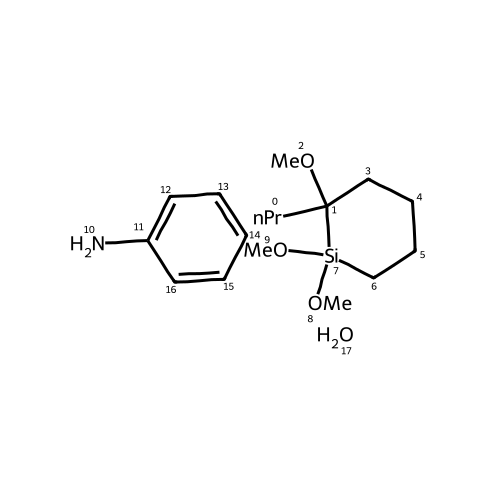 CCCC1(OC)CCCC[Si]1(OC)OC.Nc1ccccc1.O